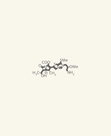 CO[C@H](CN)Cn1c[n+]2cc(C3=C(C(=O)[O-])N4C(=O)[C@H]([C@@H](C)O)[C@H]4[C@H]3C)sc2c1SC